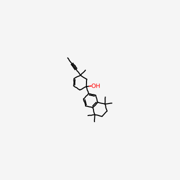 CC#CC1(C)C=CCC(O)(c2ccc3c(c2)C(C)(C)CCC3(C)C)C1